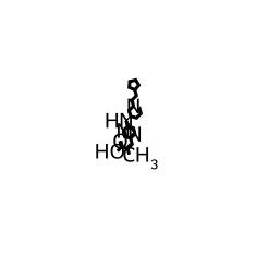 CC(=Cc1cnc(N[C@@H]2CCCN(CCC3CCCC3)C2)cn1)C(=O)O